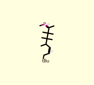 C/P=C(/C)C(C)(C)C(C)(C)C(C)/C=C\CC(C)(C)C